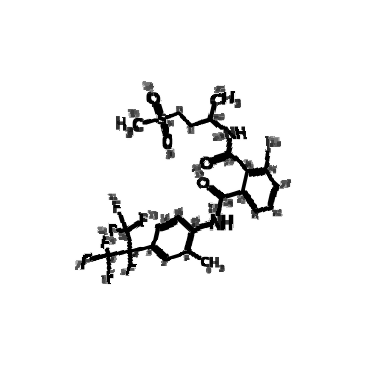 Cc1cc(C(F)(C(F)(F)F)C(F)(F)F)ccc1NC(=O)c1cccc(I)c1C(=O)NC(C)CCS(C)(=O)=O